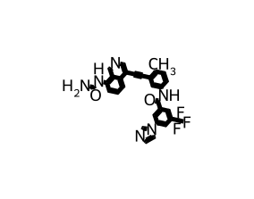 Cc1ccc(NC(=O)c2cc(-n3ccnc3)cc(C(F)(F)F)c2)cc1C#Cc1cncc2c(NC(N)=O)cccc12